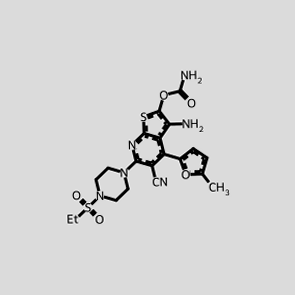 CCS(=O)(=O)N1CCN(c2nc3sc(OC(N)=O)c(N)c3c(-c3ccc(C)o3)c2C#N)CC1